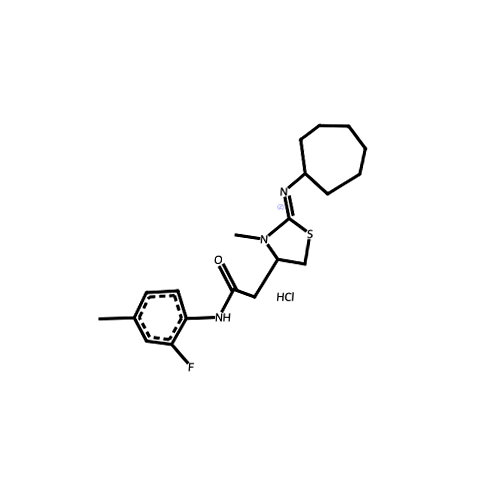 Cc1ccc(NC(=O)CC2CS/C(=N\C3CCCCCC3)N2C)c(F)c1.Cl